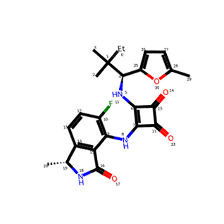 CCC(C)(C)[C@H](Nc1c(Nc2c(F)ccc3c2C(=O)N[C@@H]3C)c(=O)c1=O)c1ccc(C)o1